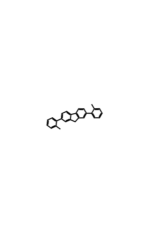 Cc1ccccc1-c1ccc2c(c1)Cc1cc(-c3ccccc3C)ccc1-2